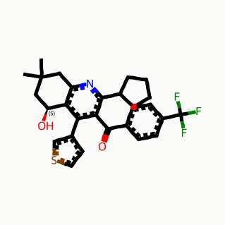 CC1(C)Cc2nc(C3CCCC3)c(C(=O)c3ccc(C(F)(F)F)cc3)c(-c3ccsc3)c2[C@@H](O)C1